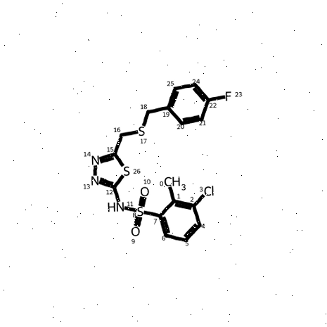 Cc1c(Cl)cccc1S(=O)(=O)Nc1nnc(CSCc2ccc(F)cc2)s1